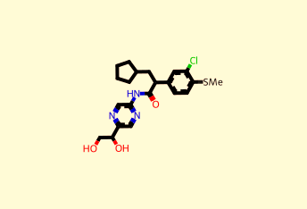 CSc1ccc(C(CC2CCCC2)C(=O)Nc2cnc(C(O)CO)cn2)cc1Cl